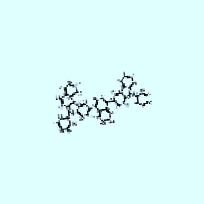 c1ccc(-n2c3ccccc3c3cc(-c4ccc(-c5ccc6c(c5)c5c7ccccc7ccc5n6-c5ccccc5)c5ccccc45)ccc32)cc1